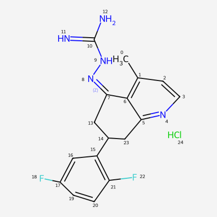 Cc1ccnc2c1/C(=N\NC(=N)N)CC(c1cc(F)ccc1F)C2.Cl